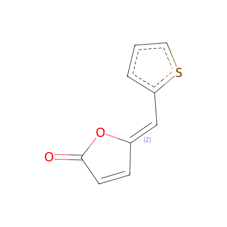 O=C1C=C/C(=C/c2cccs2)O1